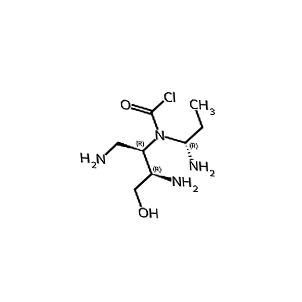 CC[C@H](N)N(C(=O)Cl)[C@H](CN)[C@@H](N)CO